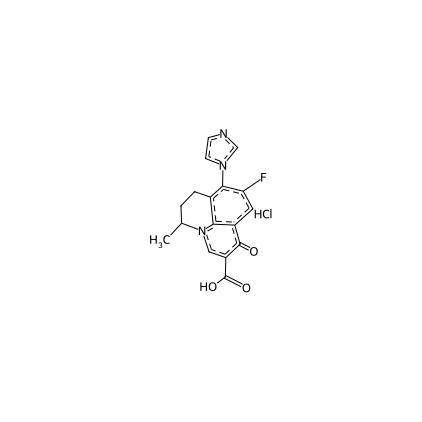 CC1CCc2c(-n3ccnc3)c(F)cc3c(=O)c(C(=O)O)cn1c23.Cl